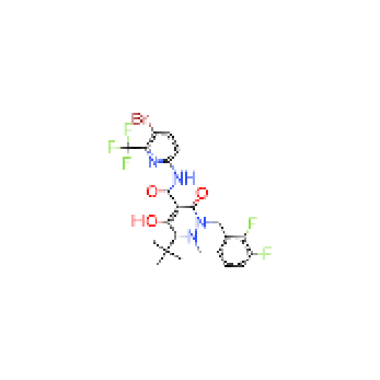 CN1C(C(C)(C)C)C(O)=C(C(=O)Nc2ccc(Br)c(C(F)(F)F)n2)C(=O)N1Cc1cccc(F)c1F